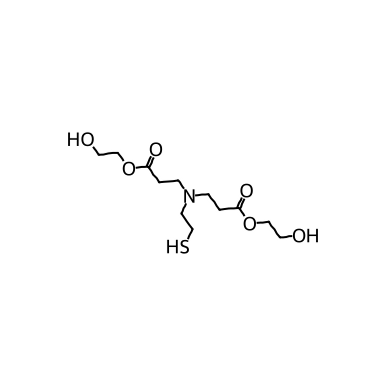 O=C(CCN(CCS)CCC(=O)OCCO)OCCO